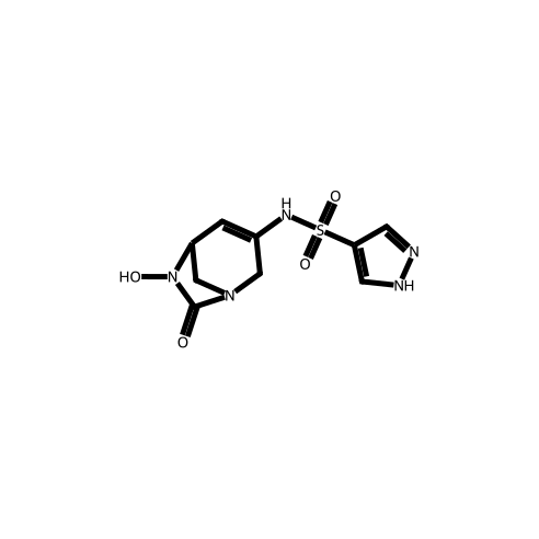 O=C1N2CC(NS(=O)(=O)c3cn[nH]c3)=CC(C2)N1O